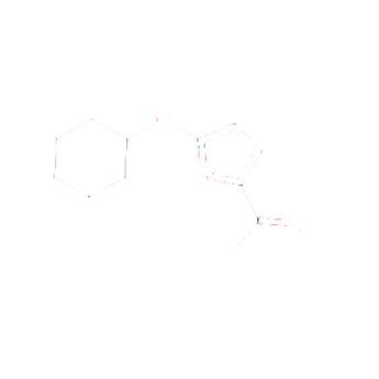 CC(=O)c1ccc(OC2CCCCC2)o1